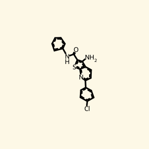 Nc1c(C(=O)Nc2ccccc2)sc2nc(-c3ccc(Cl)cc3)ccc12